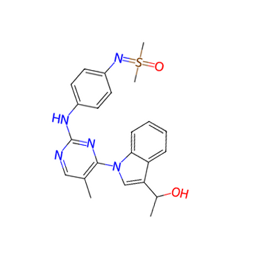 Cc1cnc(Nc2ccc(N=S(C)(C)=O)cc2)nc1-n1cc(C(C)O)c2ccccc21